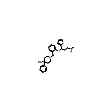 CNCCC(Oc1ccccc1CN1CCC(O)(c2ccccc2)CC1)c1cccs1